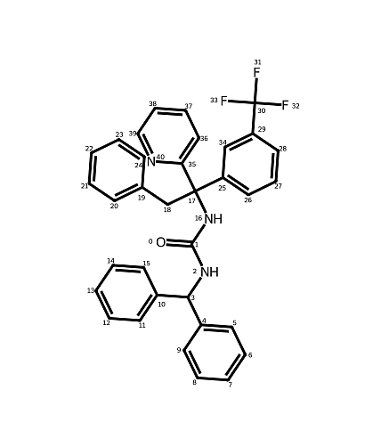 O=C(NC(c1ccccc1)c1ccccc1)NC(Cc1ccccc1)(c1cccc(C(F)(F)F)c1)c1ccccn1